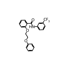 O=C(Nc1cccc(C(F)(F)F)c1)c1ccccc1OCCOc1ccccc1